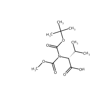 COC(=O)N(C(=O)OC(C)(C)C)[C@@H](C(=O)O)C(C)C